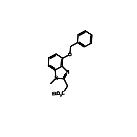 CCOC(=O)Cc1nc2c(OCc3ccccc3)cccc2n1C